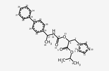 CC(C)OC(=O)C(Cn1cncn1)OC(=O)NC(C)c1ccc(-c2ccccc2)cc1